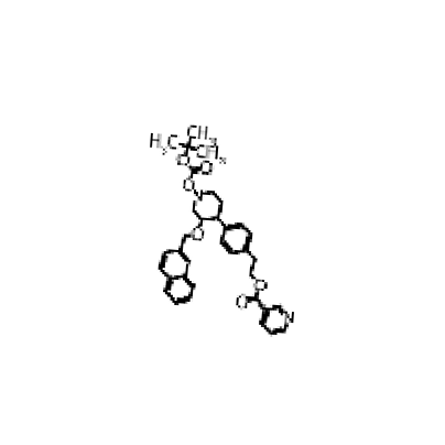 CC(C)(C)OC(=O)ON1CCC(c2ccc(CCOC(=O)c3cccnc3)cc2)C(OCc2ccc3ccccc3c2)C1